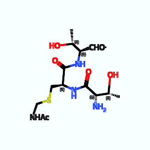 CC(=O)NCSC[C@H](NC(=O)[C@@H](N)[C@@H](C)O)C(=O)N[C@H]([C]=O)[C@@H](C)O